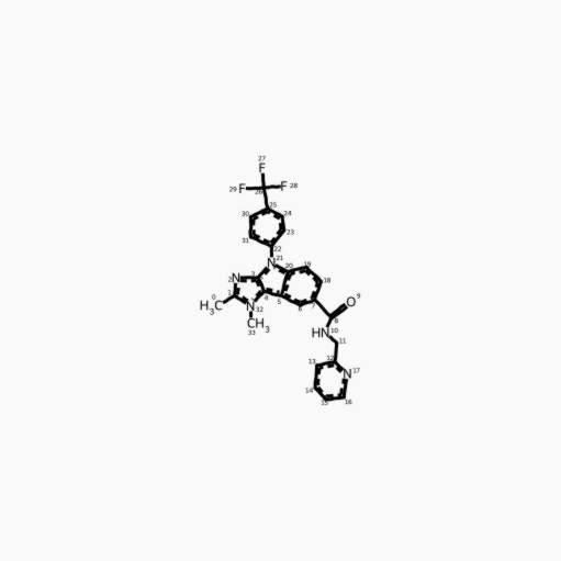 Cc1nc2c(c3cc(C(=O)NCc4ccccn4)ccc3n2-c2ccc(C(F)(F)F)cc2)n1C